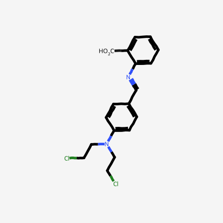 O=C(O)c1ccccc1/N=C/c1ccc(N(CCCl)CCCl)cc1